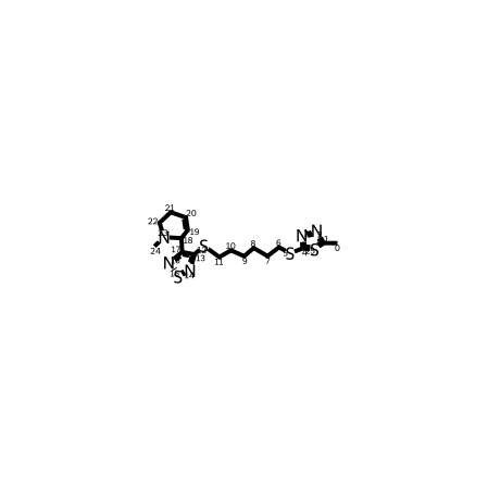 Cc1nnc(SCCCCCCSc2nsnc2C2C=CCCN2C)s1